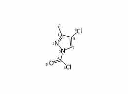 Cc1nn(C(=O)Cl)cc1Cl